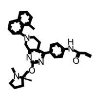 C=CC(=O)Nc1ccc(-c2nc(OC[C@]3(C)CCCN3C)nc3c2CCN(c2cccc4cccc(C)c24)C3)cc1